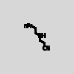 CCCCCNCCC#N